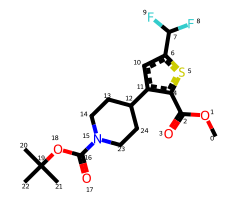 COC(=O)c1sc(C(F)F)cc1C1CCN(C(=O)OC(C)(C)C)CC1